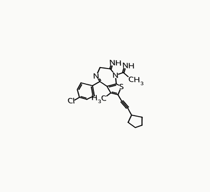 CC(=N)N1C(=N)CN=C(c2ccc(Cl)cc2)c2c1sc(C#CC1CCCC1)c2C